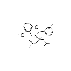 COc1cccc(OC)c1CN(Cc1cccc(C)c1)[C@@H](CC(C)C)CN(C)C